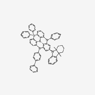 CC12CCCCC1(C)N(c1cc3c4c(c1)N(c1ccc(-c5ccccc5)cc1)c1cccc5c1B4c1c(cccc1[Si]5(c1ccccc1)c1ccccc1)N3c1ccccc1)c1ccccc12